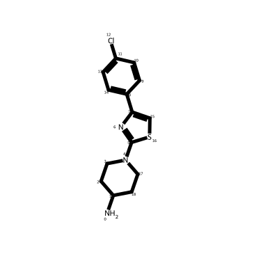 NC1CCN(c2nc(-c3ccc(Cl)cc3)cs2)CC1